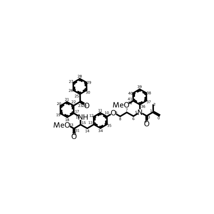 C=C(C)C(=O)N(CCCOc1ccc(CC(Nc2ccccc2C(=O)c2ccccc2)C(=O)OC)cc1)c1ccccc1OC